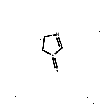 S=S1C=NCC1